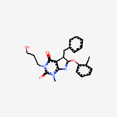 Cc1ccccc1OC1=Nc2c(c(=O)n(CCCO)c(=O)n2C)C1Cc1ccccc1